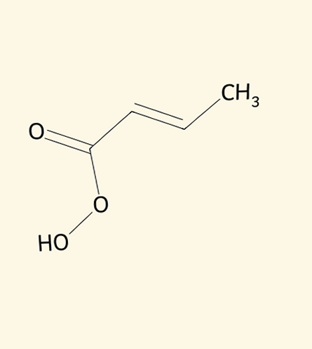 CC=CC(=O)OO